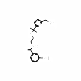 CC(C)(SCCNC(=O)c1cccc(N)c1)c1ccc(CN)o1